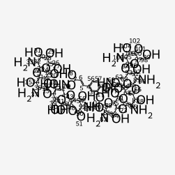 COc1cc(/C=C/C(=O)ONC2C(O)[C@H](O[C@@H]3OC(CO)[C@@H](O[C@@H]4OC(CO)[C@@H](O)C(O)C4N)C(O)C3N)C(CO)O[C@H]2O[C@@H]2C(CO)O[C@@H](OC)C(N)C2O)ccc1ONOCC1O[C@@H](O[C@@H]2C(CO)O[C@@H](O[C@@H]3C(CO)O[C@@H](O)C(N)C3O)C(N)C2O)C(N)C(O)[C@@H]1O[C@@H]1OC(CO)[C@@H](OC)C(O)C1N